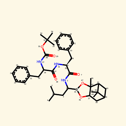 CC(C)CC(NC(=O)[C@H](Cc1ccccc1)NC(=O)C(Cc1ccccc1)NC(=O)OC(C)(C)C)B1OC2CC3CC(C3(C)C)C2(C)O1